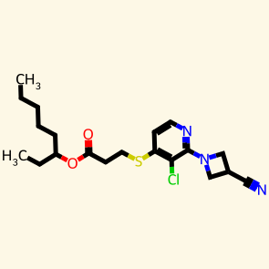 CCCCCC(CC)OC(=O)CCSc1ccnc(N2CC(C#N)C2)c1Cl